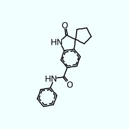 O=C(Nc1ccccc1)c1ccc2c(c1)NC(=O)C21CCCC1